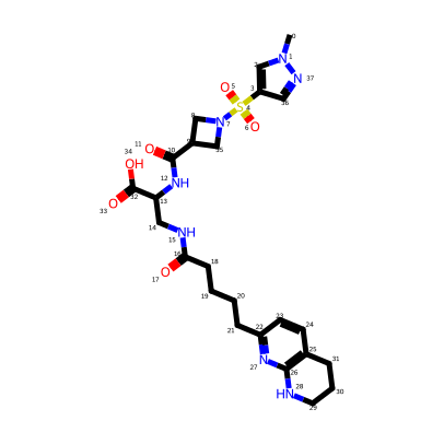 Cn1cc(S(=O)(=O)N2CC(C(=O)NC(CNC(=O)CCCCc3ccc4c(n3)NCCC4)C(=O)O)C2)cn1